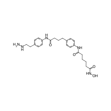 NNCCc1ccc(NC(=O)CCCc2ccc(NC(=O)CCCCC(=O)NO)cc2)cc1